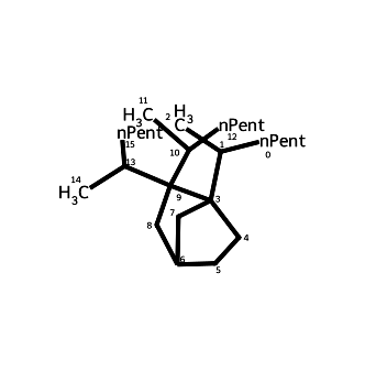 CCCCCC(C)C12CCC(C1)CC2(C(C)CCCCC)C(C)CCCCC